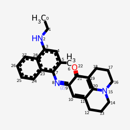 CCNc1cc(C)c(/N=C2/C=C3CCCN4CCCC(=C34)C2=O)c2ccccc12